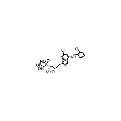 CO[C@@H](CCc1ncc2c(NCc3ccccc3Cl)cc(Cl)nn12)COP(=O)(O)CP(=O)(O)O